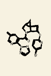 Cc1cnc(-n2nccn2)c(C(=O)N2CC3CC34CC(Oc3ccc(Br)cn3)C24)c1